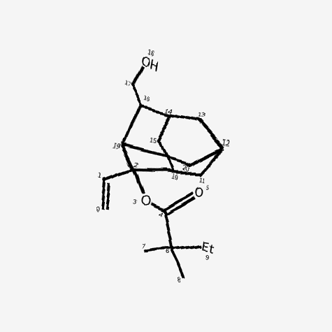 C=CC1(OC(=O)C(C)(C)CC)C2CC3CC(C2)C(CO)C1C3